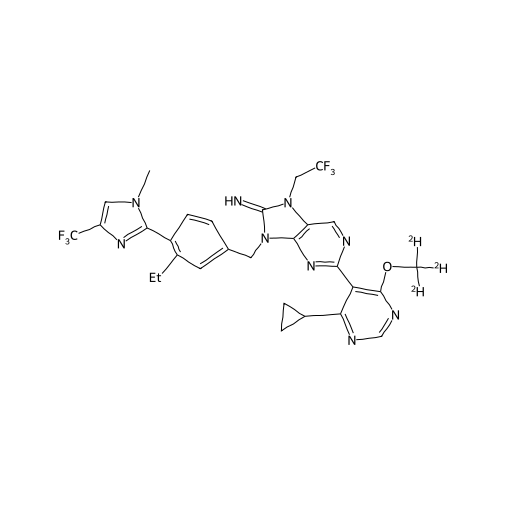 [2H]C([2H])([2H])Oc1ncnc(C2CC2)c1-c1ncc2c(n1)n(Cc1ccc(-c3nc(C(F)(F)F)cn3C)c(CC)c1)c(=N)n2CC(F)(F)F